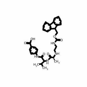 CC(C)C(NC(=O)[C@H](C)NCCNC(=O)OCC1c2ccccc2-c2ccccc21)C(=O)Nc1ccc(C(=O)O)cc1